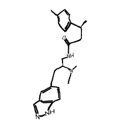 Cc1ccc([C@@H](C)CC(=O)NC[C@H](Cc2ccc3[nH]ncc3c2)N(C)C)cc1